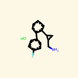 Cl.NCC1CC1c1ccccc1-c1ccc(F)cc1